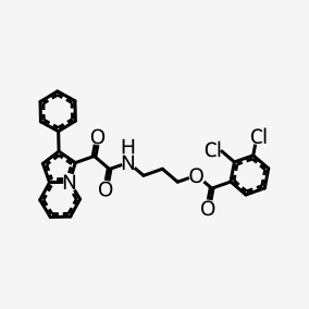 O=C(NCCCOC(=O)c1cccc(Cl)c1Cl)C(=O)c1c(-c2ccccc2)cc2ccccn12